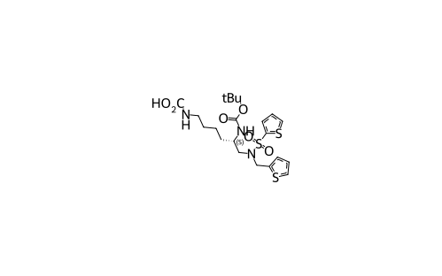 CC(C)(C)OC(=O)N[C@@H](CCCCNC(=O)O)CN(Cc1cccs1)S(=O)(=O)c1cccs1